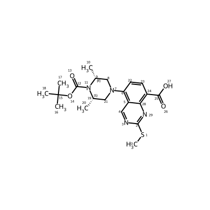 CSc1ncc2c(N3C[C@@H](C)N(C(=O)OC(C)(C)C)[C@@H](C)C3)ccc(C(=O)O)c2n1